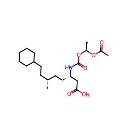 CC(=O)O[C@H](C)OC(=O)N[C@@H](CC[C@H](C)CCC1CCCCC1)CC(=O)O